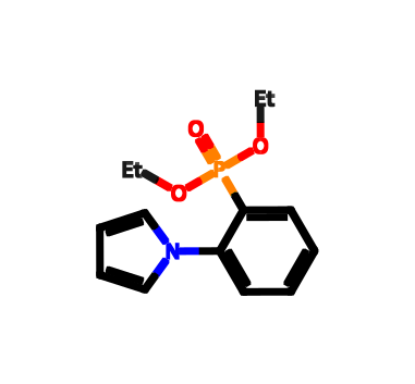 CCOP(=O)(OCC)c1ccccc1-n1cccc1